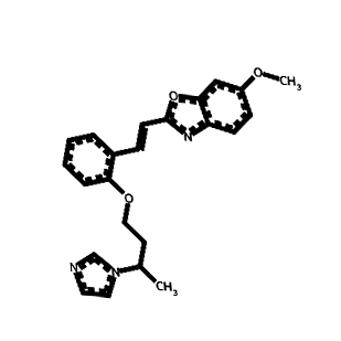 COc1ccc2nc(/C=C/c3ccccc3OCCC(C)n3ccnc3)oc2c1